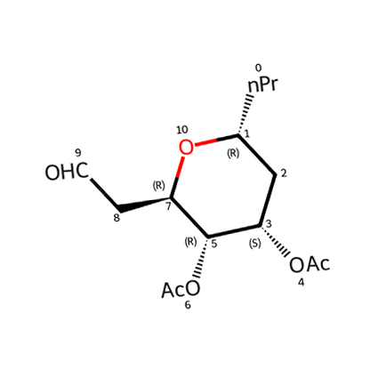 CCC[C@@H]1C[C@H](OC(C)=O)[C@H](OC(C)=O)[C@@H](CC=O)O1